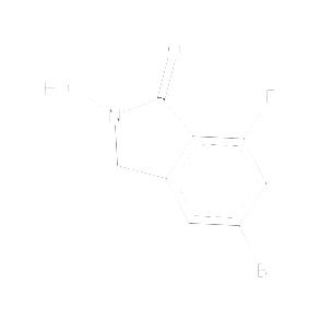 CN1Cc2cc(Br)cc(F)c2C1=O